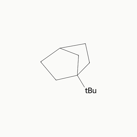 [CH2]C(C)(C)C12CCC(CC1)C2